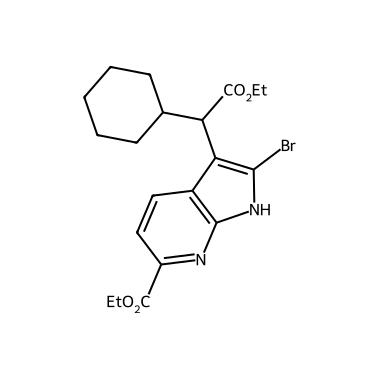 CCOC(=O)c1ccc2c(C(C(=O)OCC)C3CCCCC3)c(Br)[nH]c2n1